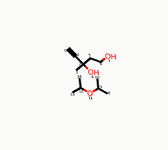 C#CC(C)(O)CCO.CC(C)OC(C)C